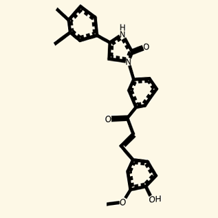 COc1cc(/C=C/C(=O)c2cccc(-n3cc(-c4ccc(C)c(C)c4)[nH]c3=O)c2)ccc1O